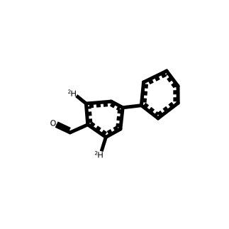 [2H]c1cc(-c2ccccc2)cc([2H])c1C=O